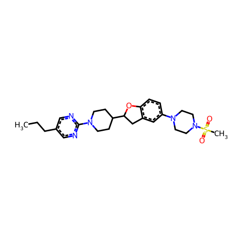 CCCc1cnc(N2CCC(C3Cc4cc(N5CCN(S(C)(=O)=O)CC5)ccc4O3)CC2)nc1